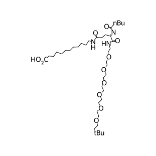 CCCCC(=O)/N=C(\CCC(=O)NCCCCCCCCCCCC(=O)O)C(=O)NCCOCCOCCOCCOCCOCCOCCC(C)(C)C